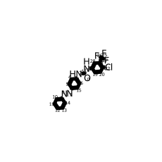 O=C(Nc1ccc(N=Nc2ccccc2)cc1)Nc1ccc(Cl)c(C(F)(F)F)c1